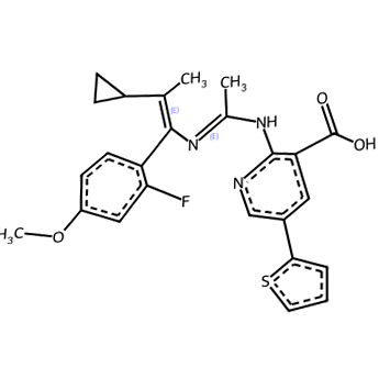 COc1ccc(C(/N=C(\C)Nc2ncc(-c3cccs3)cc2C(=O)O)=C(/C)C2CC2)c(F)c1